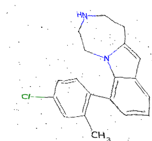 Cc1cc(Cl)ccc1-c1cccc2cc3n(c12)CCNCC3